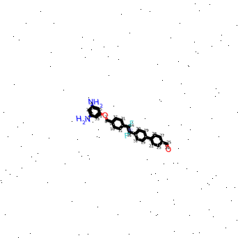 Nc1cc(N)cc(OCC2CCC(/C(F)=C(\F)C3CCC(C4CCC(C=O)CC4)CC3)CC2)c1